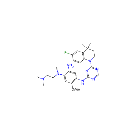 COc1cc(N(C)CCN(C)C)c(N)cc1Nc1ncnc(N2CCC(C)(C)c3cc(F)ccc32)n1